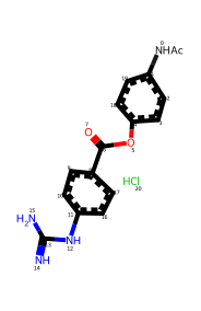 CC(=O)Nc1ccc(OC(=O)c2ccc(NC(=N)N)cc2)cc1.Cl